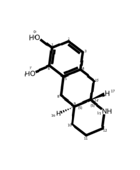 Oc1ccc2c(c1O)C[C@@H]1CCCN[C@H]1C2